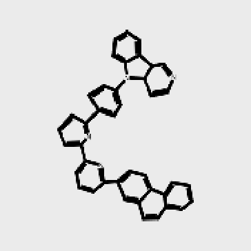 C1=CC2C(C=N1)c1ccccc1N2c1ccc(-c2cccc(-c3cccc(-c4ccc5c(ccc6ccccc65)c4)n3)n2)cc1